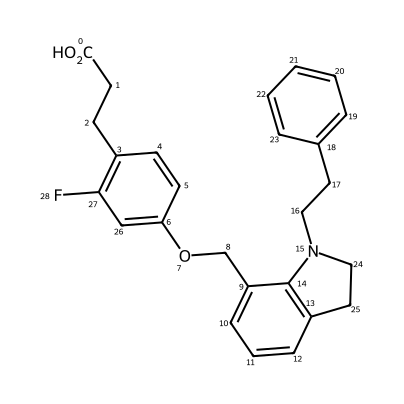 O=C(O)CCc1ccc(OCc2cccc3c2N(CCc2ccccc2)CC3)cc1F